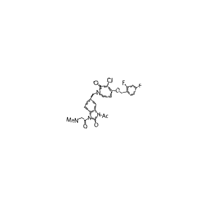 CNCC(=O)n1c(=O)n(C(C)=O)c2cc(Cn3ccc(OCc4ccc(F)cc4F)c(Cl)c3=O)ccc21